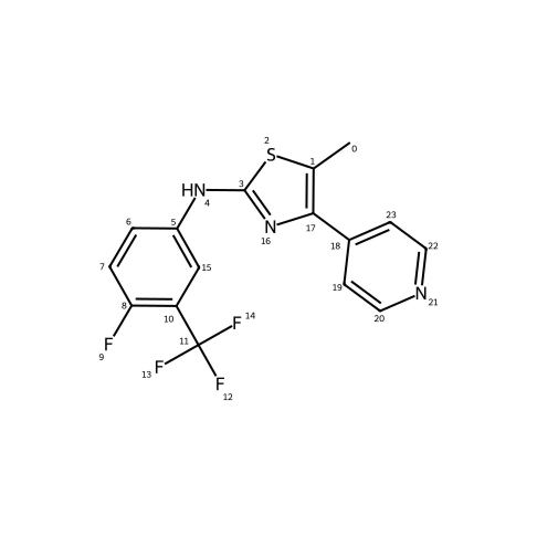 Cc1sc(Nc2ccc(F)c(C(F)(F)F)c2)nc1-c1ccncc1